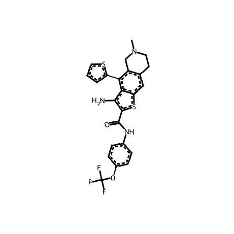 CN1CCc2cc3sc(C(=O)Nc4ccc(OC(F)(F)F)cc4)c(N)c3c(-c3cccs3)c2C1